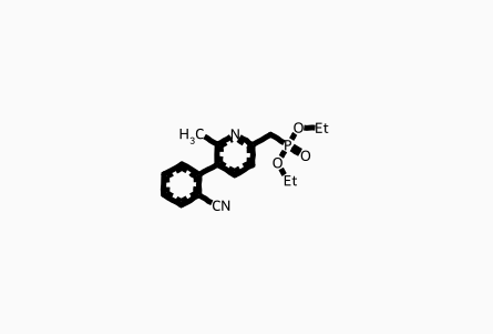 CCOP(=O)(Cc1ccc(-c2ccccc2C#N)c(C)n1)OCC